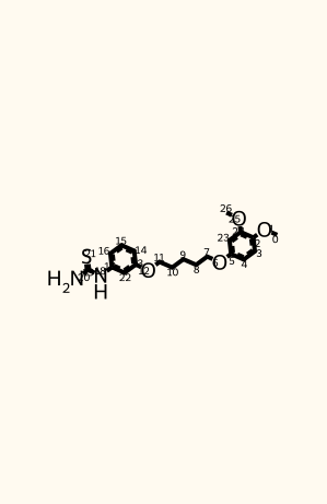 COc1ccc(OCCCCCOc2cccc(NC(N)=S)c2)cc1OC